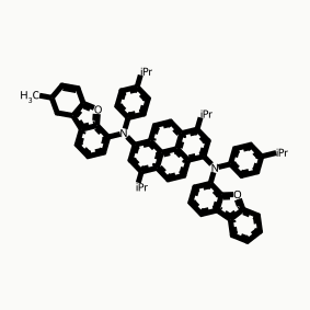 CC1C=Cc2oc3c(N(c4ccc(C(C)C)cc4)c4cc(C(C)C)c5ccc6c(N(c7ccc(C(C)C)cc7)c7cccc8c7oc7ccccc78)cc(C(C)C)c7ccc4c5c76)cccc3c2C1